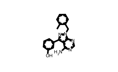 Cc1ccccc1Cn1nc(-c2cccc(O)c2)c2c(N)ncnc21